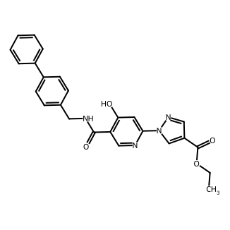 CCOC(=O)c1cnn(-c2cc(O)c(C(=O)NCc3ccc(-c4ccccc4)cc3)cn2)c1